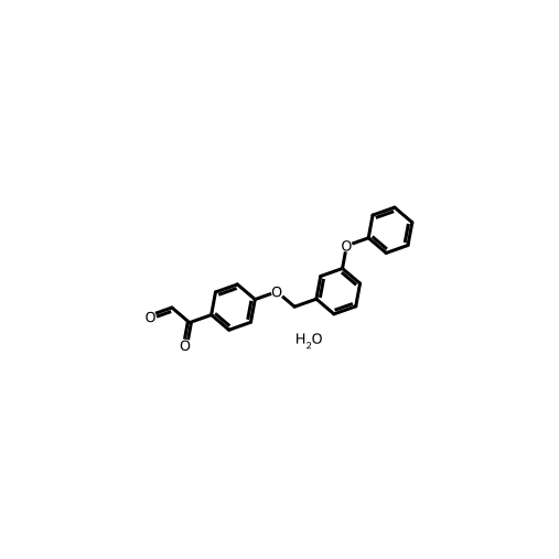 O.O=CC(=O)c1ccc(OCc2cccc(Oc3ccccc3)c2)cc1